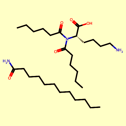 CCCCCC(=O)N(C(=O)CCCCC)[C@@H](CCCCN)C(=O)O.CCCCCCCCCCCC(N)=O